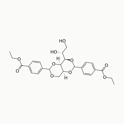 CCOC(=O)c1ccc(C2OC[C@@H]3OC(c4ccc(C(=O)OCC)cc4)O[C@H]([C@H](O)CO)[C@@H]3O2)cc1